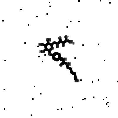 C#CCCCCNC(=O)Nc1ccc(OC2O[C@H](CNC(=O)N[S+](C)[O-])[C@@H](O)[C@H](O)[C@@H]2O)cc1